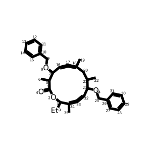 CCC1OC(=O)C(C)C(OCc2ccccc2)C=C=C(C)CC(C)C(OCc2ccccc2)C=C=C1C